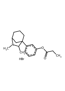 Br.CCC(=O)Oc1cccc(C23CCCC(C2)N(C)C3C)c1